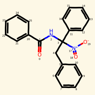 O=C(NC(Cc1ccccc1)(c1ccccc1)[N+](=O)[O-])c1ccccc1